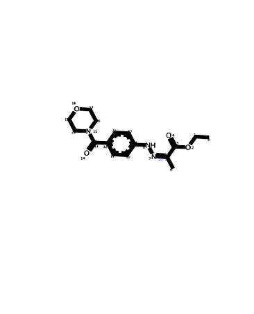 CCOC(=O)/C(C)=N\Nc1ccc(C(=O)N2CCOCC2)cc1